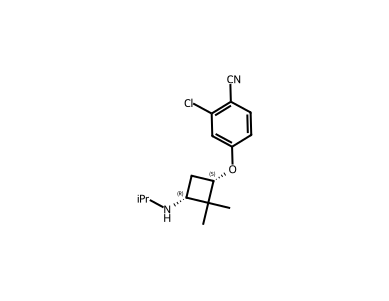 CC(C)N[C@@H]1C[C@H](Oc2ccc(C#N)c(Cl)c2)C1(C)C